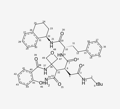 CC(C)(C)CNC(=O)C[C@H](C(=O)N[C@@H](CCc1ccccc1)C(=O)N[C@@H]1CCCc2ccccc21)C(C(N)=O)C1(NC(=O)c2ccccc2O)COC1